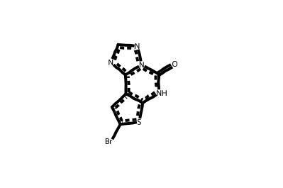 O=c1[nH]c2sc(Br)cc2c2ncnn12